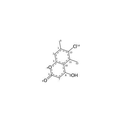 Cc1cc2oc(=O)cc(O)c2c(C)c1Cl